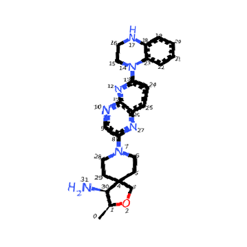 C[C@@H]1OCC2(CCN(c3cnc4nc(N5CCNc6ccccc65)ccc4n3)CC2)[C@@H]1N